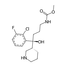 COC(=O)NCCC[C@@](O)(c1cccc(F)c1Cl)[C@@H]1CCCNC1